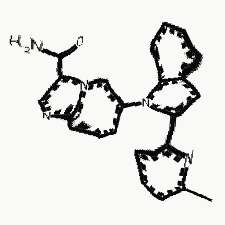 Cc1cccc(-c2cc3ccccc3n2-c2ccc3ncc(C(N)=O)n3c2)n1